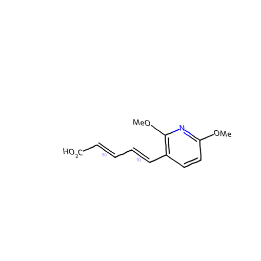 COc1ccc(/C=C/C=C/C(=O)O)c(OC)n1